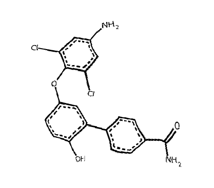 NC(=O)c1ccc(-c2cc(Oc3c(Cl)cc(N)cc3Cl)ccc2O)cc1